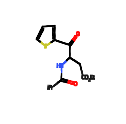 CCOC(=O)CC(NC(=O)C(C)C)C(=O)c1cccs1